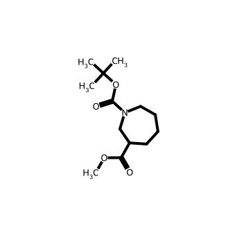 COC(=O)C1CCCCN(C(=O)OC(C)(C)C)C1